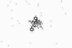 CCOC(OC(CN(N)Cc1ccccc1)C(N)Cc1ccccc1)[Si](C)(C)C